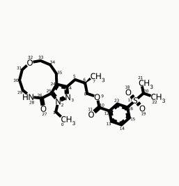 CCn1nc(C[C@@H](C)COC(=O)c2cccc(S(=O)(=O)C(C)C)c2)c2c1C(=O)NCCCOCCC2